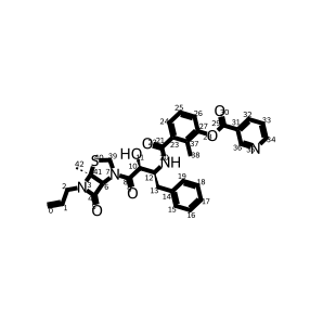 C=CCN1C(=O)C2N(C(=O)[C@@H](O)[C@H](Cc3ccccc3)NC(=O)c3cccc(OC(=O)c4cccnc4)c3C)CS[C@@]21C